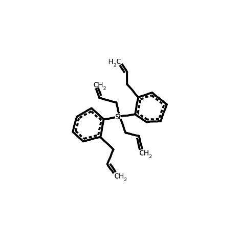 C=CCc1ccccc1[Si](CC=C)(CC=C)c1ccccc1CC=C